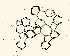 CC1CC(C)(C)c2cccc(-c3ccc(-n4c5ccccc5c5ccc6c7ccccc7n(-c7nc(-c8ccc(-c9ccccc9)cc8)nc(-c8ccccc8-c8ccccc8)n7)c6c54)cc3)c2C1(C)C